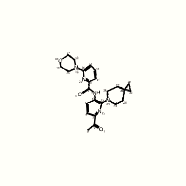 CC(=O)c1ccc(NC(=O)c2cccc(N3CCOCC3)n2)c(N2CCC3(CC2)CC3)n1